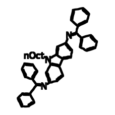 CCCCCCCCn1c2cc(N=C(c3ccccc3)c3ccccc3)ccc2c2ccc(N=C(c3ccccc3)c3ccccc3)cc21